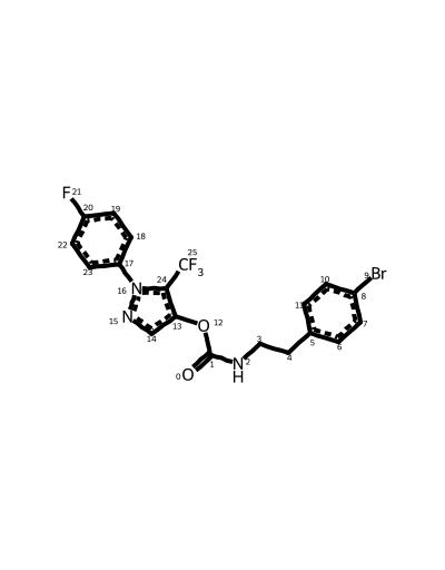 O=C(NCCc1ccc(Br)cc1)Oc1cnn(-c2ccc(F)cc2)c1C(F)(F)F